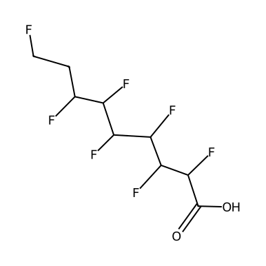 O=C(O)C(F)C(F)C(F)C(F)C(F)C(F)CCF